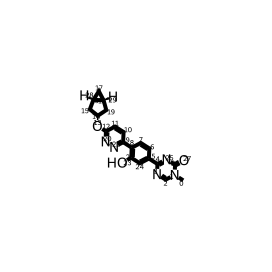 Cn1cnc(-c2ccc(-c3ccc(O[C@@H]4C[C@@H]5C[C@@H]5C4)nn3)c(O)c2)nc1=O